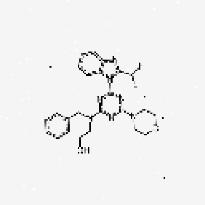 OCCN(Cc1ccccc1)c1nc(N2CCOCC2)nc(-n2c(C(F)F)nc3ccccc32)n1